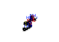 CC(C)(C)OC(=O)C[C@@H](/C=N/NC(N)=O)NC(=O)[C@@H]1CC2(CN1C(=O)c1ncc(CCCc3ccccc3)[nH]1)SCCS2